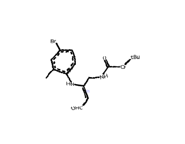 Cc1cc(Br)ccc1N/C(=C\C=O)CNC(=O)OC(C)(C)C